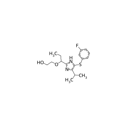 CCC(OCCO)c1nc(C(C)C)c(Sc2cccc(F)c2)[nH]1